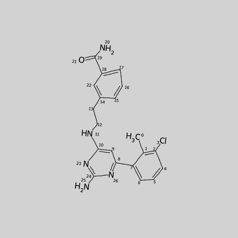 Cc1c(Cl)cccc1-c1cc(NCCc2cccc(C(N)=O)c2)nc(N)n1